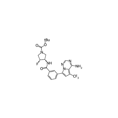 CC(C)(C)OC(=O)N1C[C@H](F)[C@H](NC(=O)c2cccc(-c3cc(C(F)(F)F)c4c(N)ncnn34)c2)C1